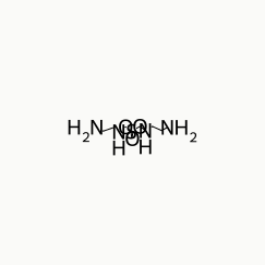 NCCNOS(=O)ONCCN